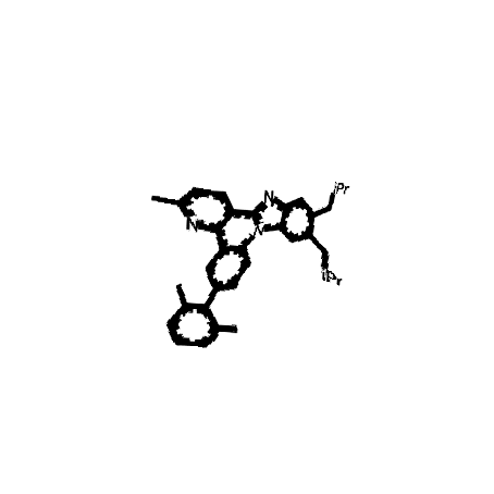 Cc1ccc2c(n1)c1cc(-c3c(C)cccc3C)ccc1n1c3cc(CC(C)C)c(CC(C)C)cc3nc21